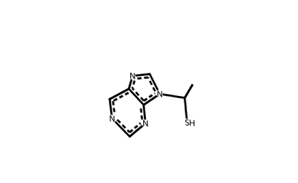 CC(S)n1cnc2cncnc21